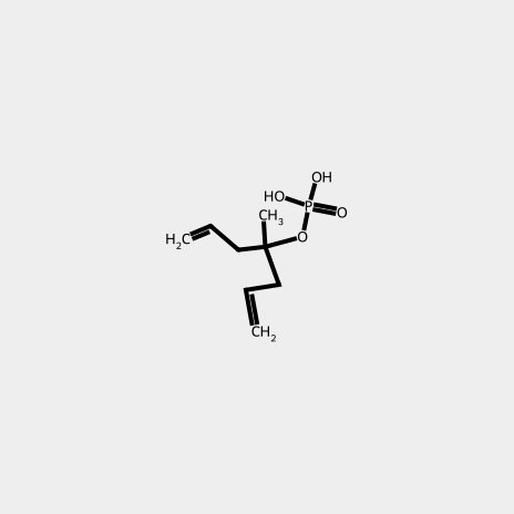 C=CCC(C)(CC=C)OP(=O)(O)O